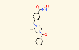 C[C@@H]1CN(C(=O)c2ccccc2Cl)C[C@H](C)N1Cc1ccc(C(=O)NO)cc1